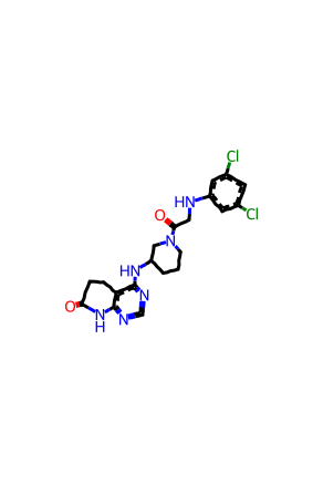 O=C1CCc2c(ncnc2NC2CCCN(C(=O)CNc3cc(Cl)cc(Cl)c3)C2)N1